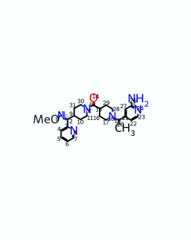 CO/N=C(\c1ccccn1)C1CCN(C(=O)C2CCN(C(C)c3ccnc(N)c3)CC2)CC1